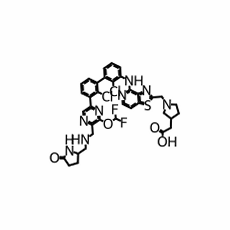 O=C(O)CC1CCN(Cc2nc3c(Nc4cccc(-c5cccc(-c6cnc(CNCC7CCC(=O)N7)c(OC(F)F)n6)c5Cl)c4Cl)nccc3s2)C1